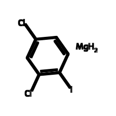 Clc1ccc(I)c(Cl)c1.[MgH2]